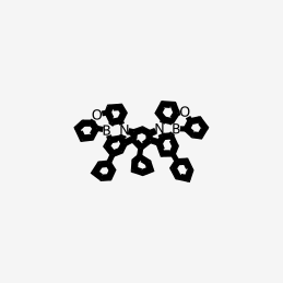 c1ccc(-c2cc3c4c(c2)c2c(-c5ccccc5)c5c6cc(-c7ccccc7)cc7c6n(c5cc2n4-c2cccc4c2B3c2ccccc2O4)-c2cccc3c2B7c2ccccc2O3)cc1